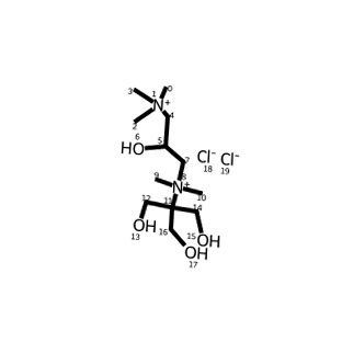 C[N+](C)(C)CC(O)C[N+](C)(C)C(CO)(CO)CO.[Cl-].[Cl-]